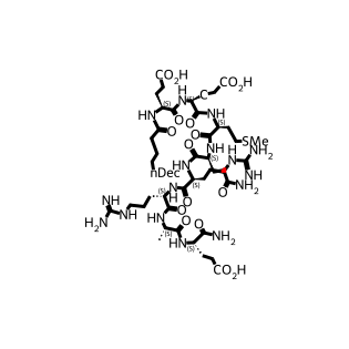 CCCCCCCCCCCCCC(=O)N[C@@H](CCC(=O)O)C(=O)N[C@@H](CCC(=O)O)C(=O)N[C@@H](CCSC)C(=O)N[C@@H](CCC(N)=O)C(=O)N[C@@H](CCCNC(=N)N)C(=O)N[C@@H](CCCNC(=N)N)C(=O)N[C@@H](C)C(=O)N[C@@H](CCC(=O)O)C(N)=O